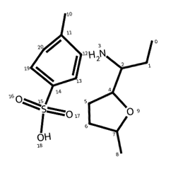 CCC(N)C1CCC(C)O1.Cc1ccc(S(=O)(=O)O)cc1